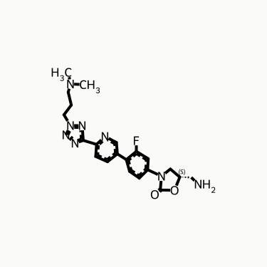 CN(C)CCCn1nnc(-c2ccc(-c3ccc(N4C[C@H](CN)OC4=O)cc3F)cn2)n1